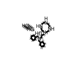 Cl.Cl.Cl.Cl.Cl.OC(CN1CCNCCNCCNCC1)CN(Cc1ccccc1)Cc1ccccc1